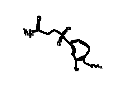 CC(=O)CCS(=O)(=O)c1ccc(C)c(Br)c1